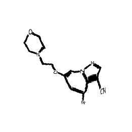 N#Cc1cnn2cc(OCCN3CCOCC3)cc(Br)c12